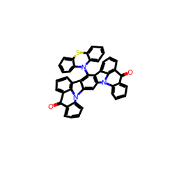 O=c1c2ccccc2n2c3cc4c(c(N5c6ccccc6Sc6ccccc65)c3c3cccc1c32)c1cccc2c(=O)c3ccccc3n4c21